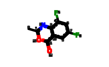 Cc1nc2c(F)cc(F)cc2c(=O)o1